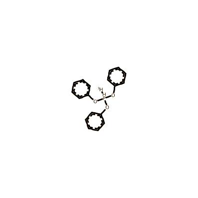 [3H][PH](Oc1ccccc1)(Oc1ccccc1)Oc1ccccc1